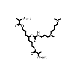 CCCCCC(C)C(=O)OCCCC(CCCOC(=O)C(C)CCCCC)OC(=O)NCCCN(C)CCCCN(C)C